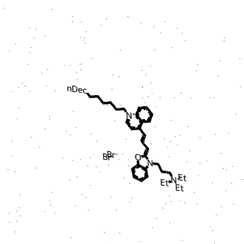 CCCCCCCCCCCCCCCC[n+]1ccc(C=CC=C2Oc3ccccc3N2CCC[N+](CC)(CC)CC)c2ccccc21.[Br-].[Br-]